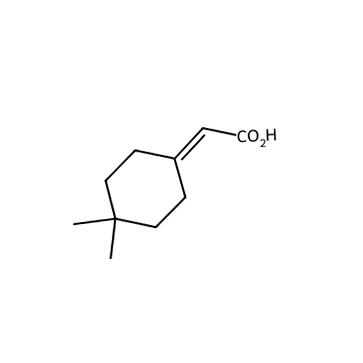 CC1(C)CCC(=CC(=O)O)CC1